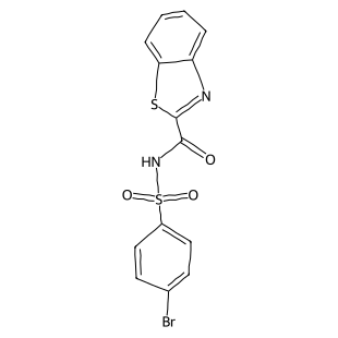 O=C(NS(=O)(=O)c1ccc(Br)cc1)c1nc2ccccc2s1